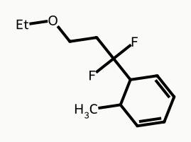 CCOCCC(F)(F)C1C=CC=CC1C